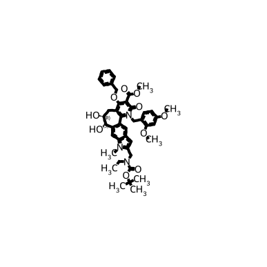 CCN(Cc1cc2cc3c(cc2n1C)[C@H](O)[C@H](O)Cc1c(OCc2ccccc2)c(C(=O)OC)c(=O)n(Cc2ccc(OC)cc2OC)c1-3)C(=O)OC(C)(C)C